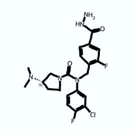 CN(C)[C@H]1CCN(C(=O)N(Cc2ccc(C(=O)NN)cc2F)c2ccc(F)c(Cl)c2)C1